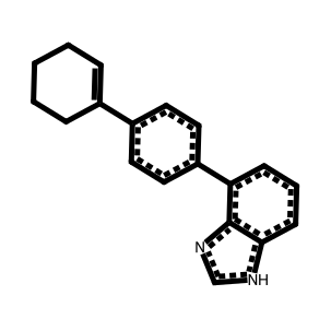 C1=C(c2ccc(-c3cccc4[nH]cnc34)cc2)CCCC1